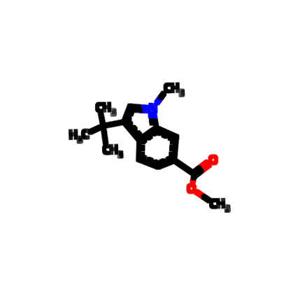 COC(=O)c1ccc2c(C(C)(C)C)cn(C)c2c1